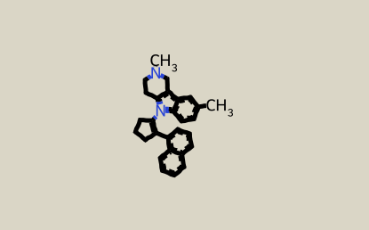 Cc1ccc2c(c1)c1c(n2C2=C(c3cccc4ccccc34)CCC2)CCN(C)C1